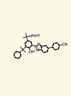 CCCCCC(C)(C)c1cc(-n2nc3ccc(-c4ccc(C#N)cc4)cc3n2)c(O)c(C(C)(C)c2ccccc2)c1